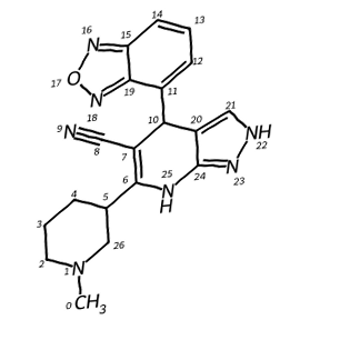 CN1CCCC(C2=C(C#N)C(c3cccc4nonc34)c3c[nH]nc3N2)C1